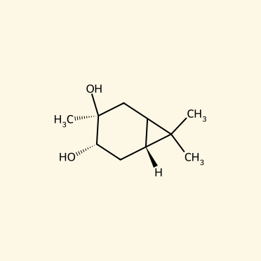 CC1(C)C2C[C@](C)(O)[C@@H](O)C[C@H]21